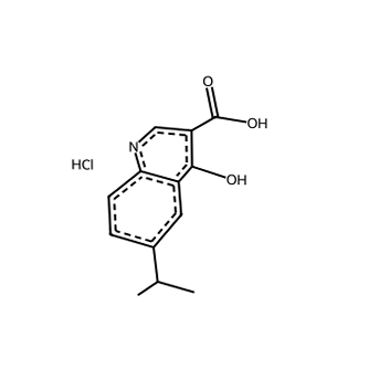 CC(C)c1ccc2ncc(C(=O)O)c(O)c2c1.Cl